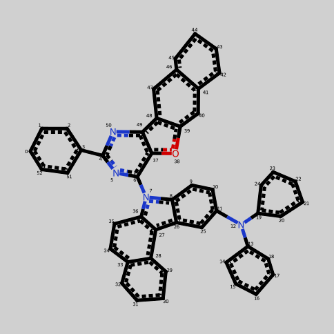 c1ccc(-c2nc(-n3c4ccc(N(c5ccccc5)c5ccccc5)cc4c4c5ccccc5ccc43)c3oc4cc5ccccc5cc4c3n2)cc1